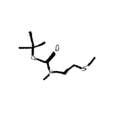 CSCCN(C)C(=O)OC(C)(C)C